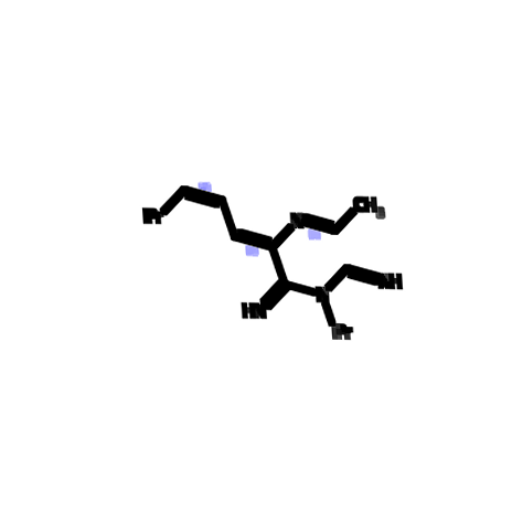 C/C=N/C(=C\C=C/C(C)C)C(=N)N(C=N)C(C)C